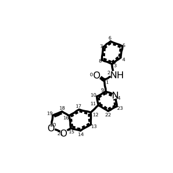 O=C(Nc1ccccc1)c1cc(-c2ccc3c(c2)C=COO3)ccn1